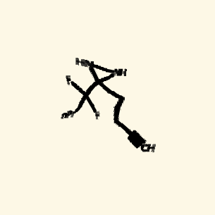 C#CCCC1(C(F)(F)CCC)NN1